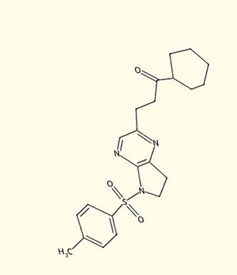 Cc1ccc(S(=O)(=O)N2CCc3nc(CCC(=O)C4CCCCC4)cnc32)cc1